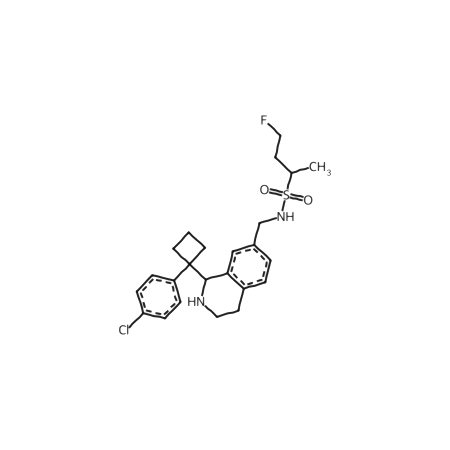 CC(CCF)S(=O)(=O)NCc1ccc2c(c1)C(C1(c3ccc(Cl)cc3)CCC1)NCC2